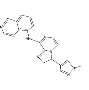 Cn1cc(C2CN=C3C(Nc4cccc5cnccc45)=NC=CN32)cn1